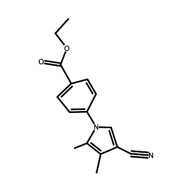 CCOC(=O)c1ccc(-n2cc(C#N)c(C)c2C)cc1